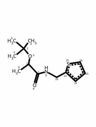 CC(OC(C)(C)C)C(=O)NCc1cccs1